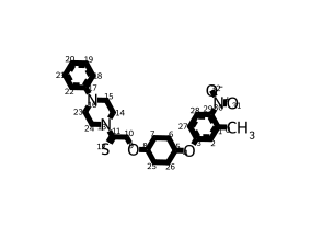 Cc1cc(OC2CCC(OCC(=S)N3CCN(c4ccccc4)CC3)CC2)ccc1[N+](=O)[O-]